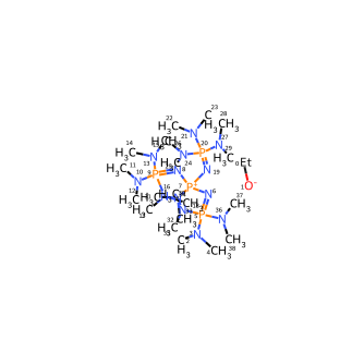 CC[O-].CN(C)P(=N[P+](N=P(N(C)C)(N(C)C)N(C)C)(N=P(N(C)C)(N(C)C)N(C)C)N(C)C)(N(C)C)N(C)C